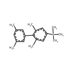 Cc1cc(C)cc(-c2c(C)cc(S(C)(C)C)cc2C)c1